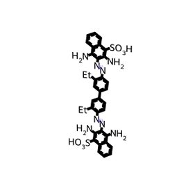 CCc1cc(-c2ccc(/N=N/c3c(N)c(S(=O)(=O)O)c4ccccc4c3N)c(CC)c2)ccc1/N=N/c1c(N)c(S(=O)(=O)O)c2ccccc2c1N